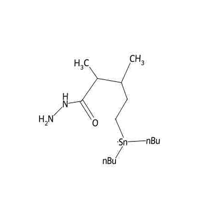 CCC[CH2][Sn]([CH2]CCC)[CH2]CC(C)C(C)C(=O)NN